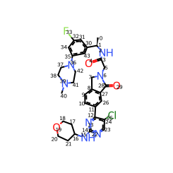 C[C@@H](NC(=O)CN1Cc2ccc(-c3nc(NC4CCOCC4)ncc3Cl)cc2C1=O)c1cc(F)cc(N2CCN(C)CC2)c1